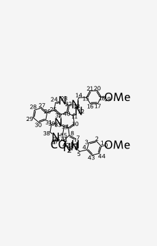 COc1ccc(Cn2cc(C=Cc3nn(Cc4ccc(OC)cc4)c4ncc(-c5ccccc5)c(N5CCN(C(=O)O)CC5)c34)cn2)cc1